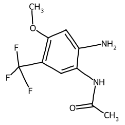 COc1cc(N)c(NC(C)=O)cc1C(F)(F)F